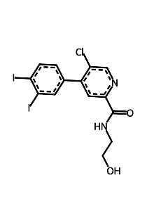 O=C(NCCO)c1cc(-c2ccc(I)c(I)c2)c(Cl)cn1